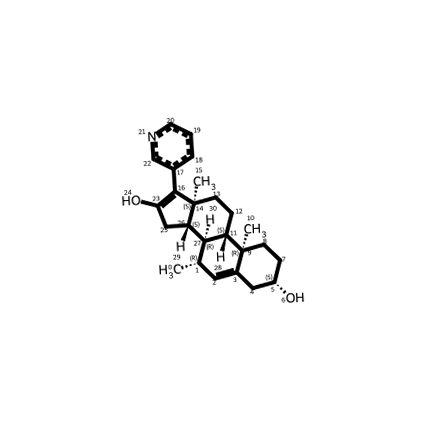 C[C@H]1C=C2C[C@@H](O)CC[C@]2(C)[C@H]2CC[C@]3(C)C(c4cccnc4)=C(O)C[C@H]3[C@H]12